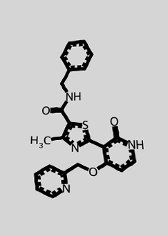 Cc1nc(-c2c(OCc3ccccn3)cc[nH]c2=O)sc1C(=O)NCc1ccccc1